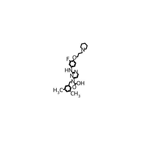 Cc1cc(C)cc(CN(C(=O)O)c2ccnc(Nc3ccc(OCCCN4CCCCC4)c(F)c3)n2)c1